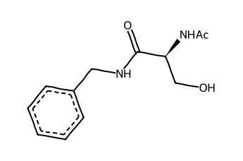 CC(=O)N[C@@H](CO)C(=O)NCc1ccccc1